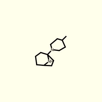 CC1CCN(C23CCCC(CC2)N3)CC1